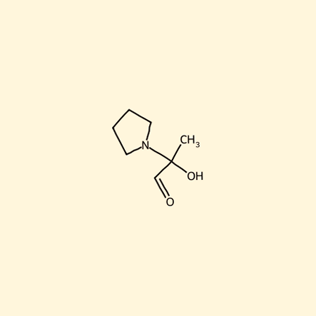 CC(O)(C=O)N1CCCC1